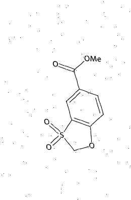 COC(=O)c1ccc2c(c1)S(=O)(=O)CO2